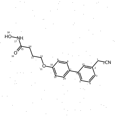 N#CCc1cccc(-c2ccc(OCCCC(=O)NO)cc2)c1